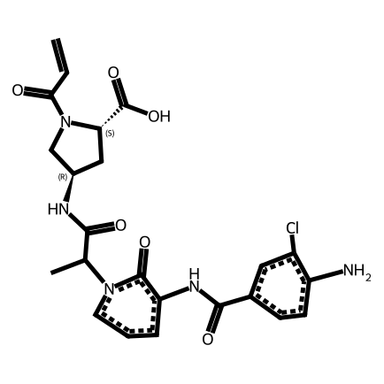 C=CC(=O)N1C[C@H](NC(=O)C(C)n2cccc(NC(=O)c3ccc(N)c(Cl)c3)c2=O)C[C@H]1C(=O)O